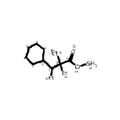 CCC(C1CCCCC1)C(CC)(CC)C(=O)O[SiH3]